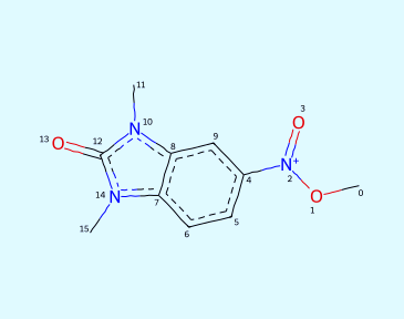 CO[N+](=O)c1ccc2c(c1)n(C)c(=O)n2C